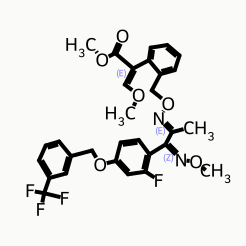 CO/C=C(/C(=O)OC)c1ccccc1CO/N=C(C)/C(=N\OC)c1ccc(OCc2cccc(C(F)(F)F)c2)cc1F